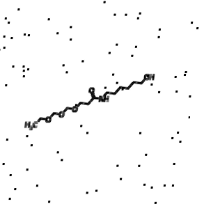 CCOCOCOCCC(=O)NCCCCCCO